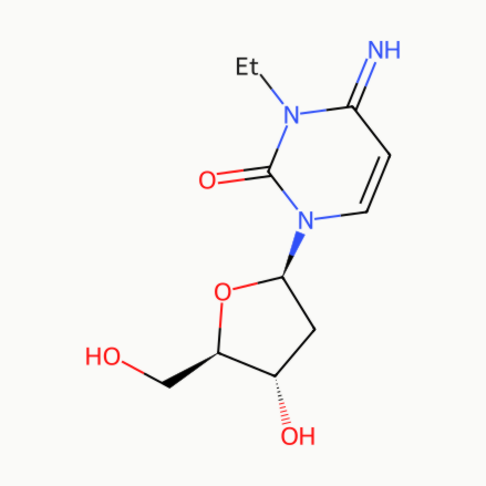 CCn1c(=N)ccn([C@H]2C[C@H](O)[C@@H](CO)O2)c1=O